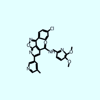 COc1ccc(CNC(=O)c2cc(-c3cncc(C)c3)nc3onc(-c4ccc(Cl)cc4)c23)nc1OC